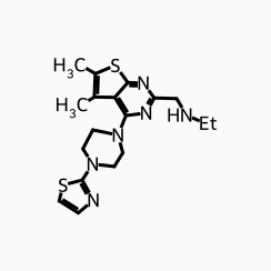 CCNCc1nc(N2CCN(c3nccs3)CC2)c2c(C)c(C)sc2n1